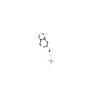 Cn1ncc2cnc(C=N[S+]([O-])C(C)(C)C)cc21